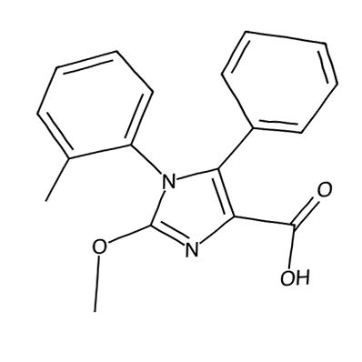 COc1nc(C(=O)O)c(-c2ccccc2)n1-c1ccccc1C